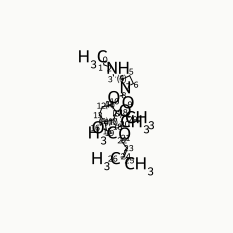 CCNC[C@@H]1CCN1C(=O)O[C@@H]1CC[C@]2(CO2)[C@@H](C(C)(C)OCC=C(C)C)[C@@H]1OC